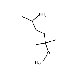 CC(N)CCC(C)(C)O[SiH3]